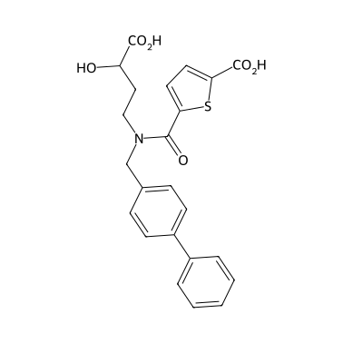 O=C(O)c1ccc(C(=O)N(CCC(O)C(=O)O)Cc2ccc(-c3ccccc3)cc2)s1